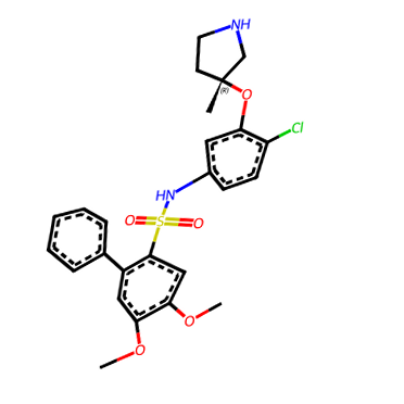 COc1cc(-c2ccccc2)c(S(=O)(=O)Nc2ccc(Cl)c(O[C@]3(C)CCNC3)c2)cc1OC